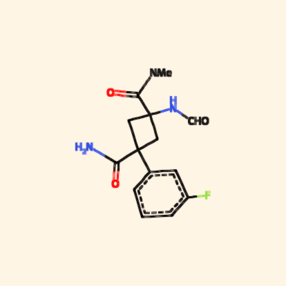 CNC(=O)C1(NC=O)CC(C(N)=O)(c2cccc(F)c2)C1